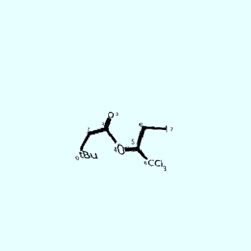 CC(C)(C)CC(=O)OC(CI)C(Cl)(Cl)Cl